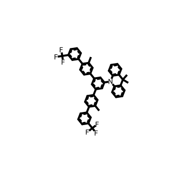 Cc1cc(-c2cc(-c3ccc(-c4cccc(C(F)(F)F)c4)c(C)c3)cc(N3c4ccccc4C(C)(C)c4ccccc43)c2)ccc1-c1cccc(C(F)(F)F)c1